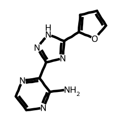 Nc1nccnc1-c1n[nH]c(-c2ccco2)n1